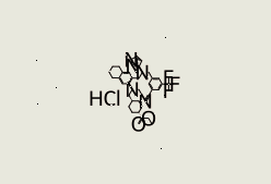 CCN(C[C@H]1CC[C@H](C(=O)OC)CC1)c1cc2c(cc1CN(Cc1cc(C#N)cc(C(F)(F)F)c1)c1ccn(C)n1)CCCC2.Cl